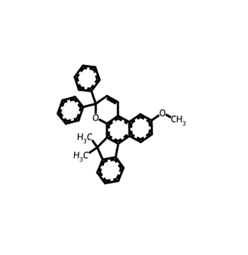 COc1ccc2c3c(c4c(c2c1)C=CC(c1ccccc1)(c1ccccc1)O4)C(C)(C)c1ccccc1-3